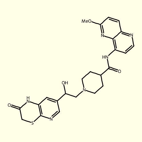 COc1ccc2nccc(NC(=O)C3CCN(CC(O)c4cnc5c(c4)NC(=O)CS5)CC3)c2n1